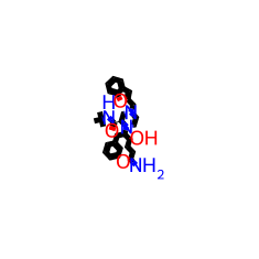 CC(C)(C)NC(=O)[C@@H]1CN(Cc2cc3ccccc3o2)CCN1C(Cc1ccccc1)[C@@H](O)CCC(N)=O